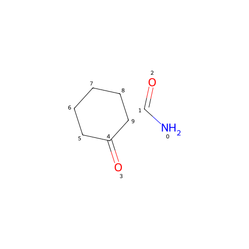 NC=O.O=C1CCCCC1